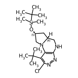 CC(C)(C)c1c(Cl)nnc2c1N1C[C@@H](O[Si](C)(C)C(C)(C)C)C[C@@H]1CN2